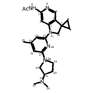 CC(=O)Nc1cc2c(cn1)C1(CC1)CN2c1cc(C)cc(N2CCC(N(C)C)C2)n1